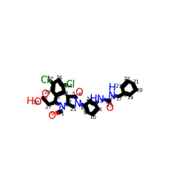 O=CN(C1CC(=O)N(c2cccc(NC(=O)NCc3ccccc3)c2)C1)C(CC(=O)O)c1cc(Cl)cc(Cl)c1